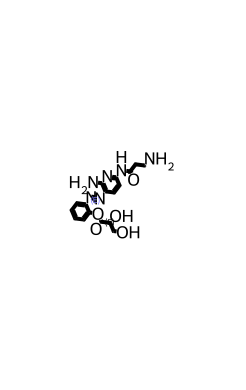 NCCC(=O)Nc1ccc(/N=N/c2ccccc2OC(=O)[C@@H](O)CO)c(N)n1